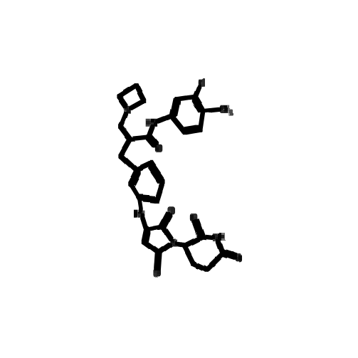 O=C1CCC(N2C(=O)C=C(Nc3cccc(CC(CN4CCC4)C(=O)Nc4ccc(C(F)(F)F)c(Cl)c4)c3)C2=O)C(=O)N1